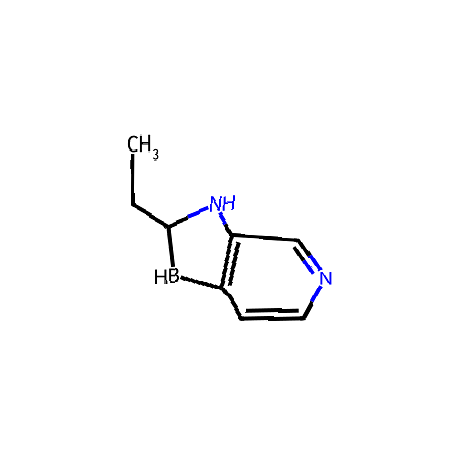 CCC1Bc2ccncc2N1